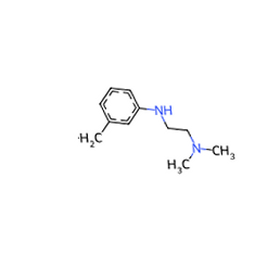 [CH2]c1cccc(NCCN(C)C)c1